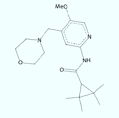 COc1cnc(NC(=O)C2C(C)(C)C2(C)C)cc1CN1CCOCC1